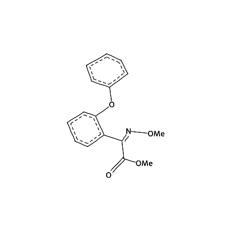 CON=C(C(=O)OC)c1ccccc1Oc1ccccc1